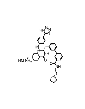 Cl.NCC1CCC(C(=O)N[C@@H](Cc2cccc(-c3cccc(C(=O)NCCN4CCCC4)c3)c2)C(=O)Nc2ccc(-c3nnn[nH]3)cc2)CC1